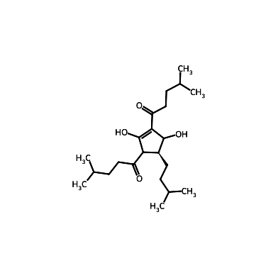 CC(C)CCC(=O)C1=C(O)C(C(=O)CCC(C)C)[C@H](CCC(C)C)C1O